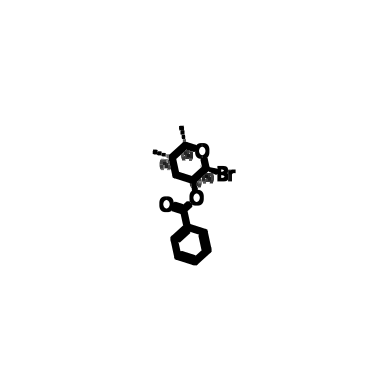 C[C@@H]1O[C@@H](Br)[C@@H](OC(=O)c2ccccc2)C[C@@H]1C